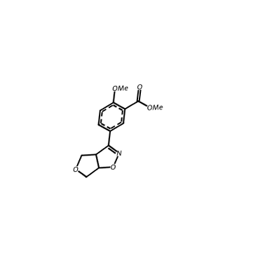 COC(=O)c1cc(C2=NOC3COCC23)ccc1OC